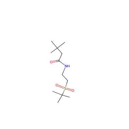 CC(C)(C)CC(=O)NCCS(=O)(=O)C(C)(C)C